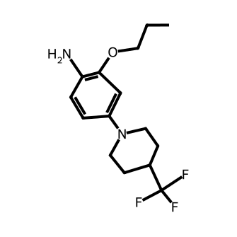 CCCOc1cc(N2CCC(C(F)(F)F)CC2)ccc1N